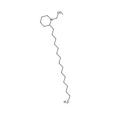 CCCCCCCCCCCCCCCCC1CCCCN1CC